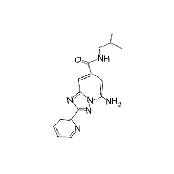 CC(C)CNC(=O)c1cc(N)n2nc(-c3ccccn3)nc2c1